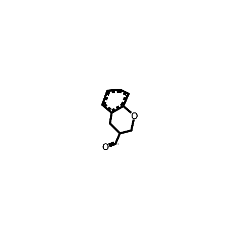 O=[C]C1COc2ccccc2C1